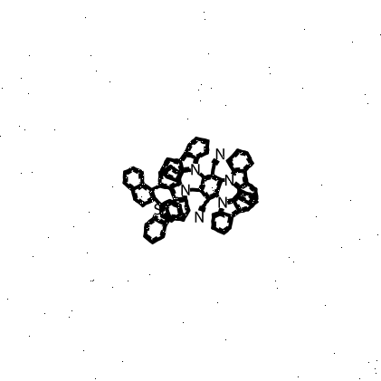 N#Cc1c(-n2c3ccccc3c3ccccc32)c(-n2c3ccccc3c3ccccc32)c(C#N)c(-n2c3cccc(-c4c(-c5ccccc5)ccc5ccccc45)c3c3c4sc5ccccc5c4ccc32)c1-n1c2ccccc2c2ccccc21